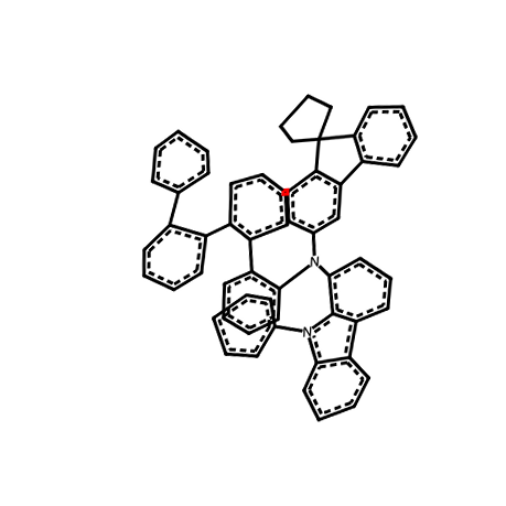 c1ccc(-c2ccccc2-c2ccccc2-c2ccccc2N(c2ccc3c(c2)-c2ccccc2C32CCCC2)c2cccc3c4ccccc4n(-c4ccccc4)c23)cc1